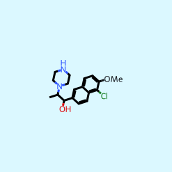 COc1ccc2cc(C(O)C(C)N3CCNCC3)ccc2c1Cl